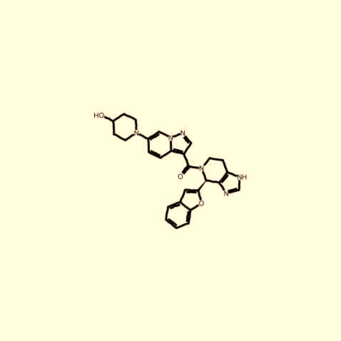 O=C(c1cnn2cc(N3CCC(O)CC3)ccc12)N1CCc2[nH]cnc2[C@H]1c1cc2ccccc2o1